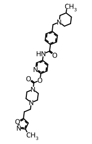 Cc1cc(CCN2CCN(C(=O)Oc3ccc(NC(=O)c4ccc(CN5CCCC(C)C5)cc4)cn3)CC2)on1